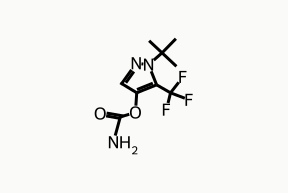 CC(C)(C)n1ncc(OC(N)=O)c1C(F)(F)F